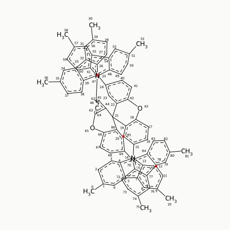 Cc1ccc2c(c1)c1cc(C)ccc1n2-c1ccc2c(c1)C1(c3cc(-n4c5ccc(C)cc5c5cc(C)ccc54)ccc3O2)c2cc(-n3c4ccc(C)cc4c4cc(C)ccc43)ccc2Oc2ccc(-n3c4ccc(C)cc4c4cc(C)ccc43)cc21